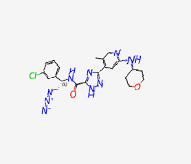 Cc1cnc(NC2CCOCC2)cc1-c1n[nH]c(C(=O)N[C@H](CN=[N+]=[N-])c2cccc(Cl)c2)n1